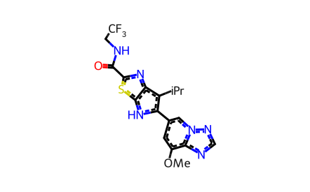 COc1cc(-c2[nH]c3sc(C(=O)NCC(F)(F)F)nc3c2C(C)C)cn2ncnc12